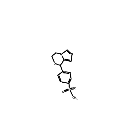 CS(=O)(=O)c1ccc(C2OCCn3cncc32)cc1